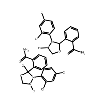 NC(=O)c1ccccc1C1(Cl)OCN(Cl)N1c1ccc(Cl)cc1Cl.NC(=O)c1ccccc1C1OCN(Cl)N1c1ccc(Cl)cc1Cl